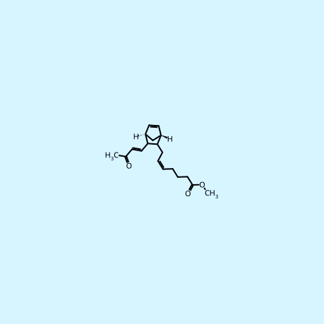 COC(=O)CCC/C=C\CC1C(C=CC(C)=O)[C@H]2C=C[C@H]1C2